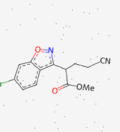 COC(=O)C(CCC#N)c1noc2cc(Br)ccc12